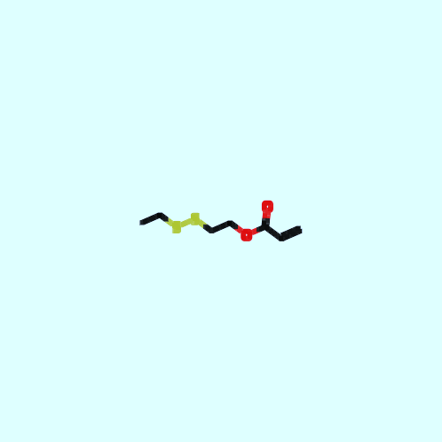 C=CC(=O)OCCSSCC